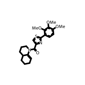 COc1ccc(-c2nc(C(=O)N3CCCC4CCCC=C43)cs2)c(OC)c1OC